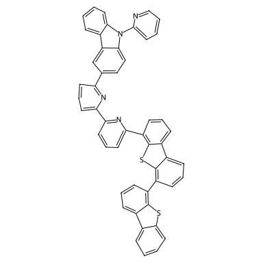 c1ccc(-n2c3ccccc3c3cc(-c4cccc(-c5cccc(-c6cccc7c6sc6c(-c8cccc9c8sc8ccccc89)cccc67)n5)n4)ccc32)nc1